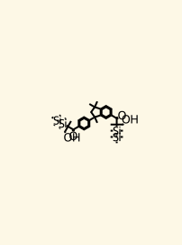 CC1(C)CC(C)(c2ccc(C(=O)C(C)(CO)[Si](C)(C)[Si](C)(C)C)cc2)c2cc(C(=O)C(C)(CO)[Si](C)(C)[Si](C)(C)C)ccc21